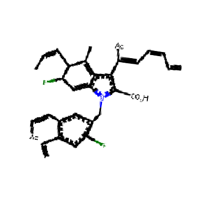 C=C/C=C\C=C(/C(C)=O)c1c(C(=O)O)n(Cc2cc(/C=C\C(C)=O)c(C=C)cc2F)c2c1=C(C)C(/C=C\C)C(F)C=2